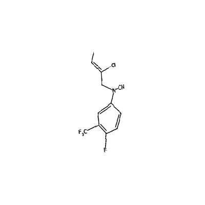 C/C=C(\Cl)CN(C#N)c1ccc(F)c(C(F)(F)F)c1